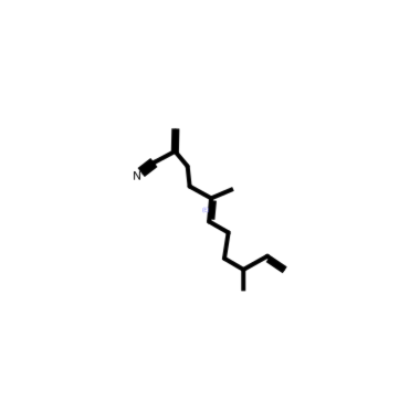 C=CC(C)CC/C=C(\C)CCC(=C)C#N